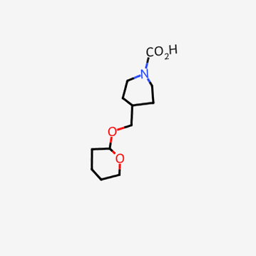 O=C(O)N1CCC(COC2CCCCO2)CC1